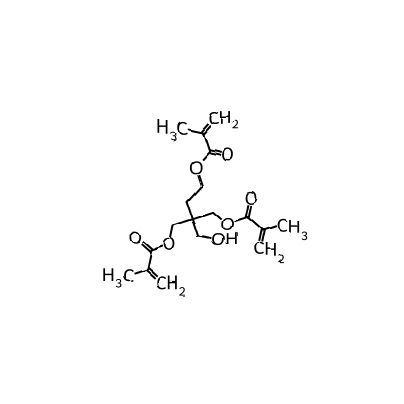 C=C(C)C(=O)OCCC(CO)(COC(=O)C(=C)C)COC(=O)C(=C)C